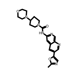 Cc1ncc(-c2cnc3cnc(NC(=O)N4CCC(N5CCOCC5)CC4)cc3c2)o1